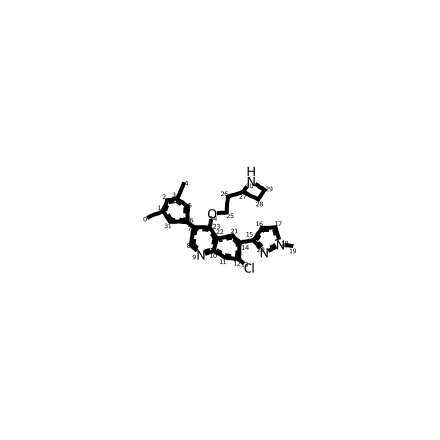 Cc1cc(C)cc(-c2cnc3cc(Cl)c(-c4ccn(C)n4)cc3c2OCCC2CCN2)c1